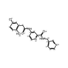 O=C(Cc1cc(Cl)ccc1O)Nc1ccnc(C(=O)NCc2cccnc2)c1